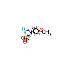 COc1ccc(N(CCF)CCS(=O)(=O)F)cc1